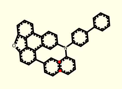 c1ccc(-c2ccc(N(c3ccccc3)c3ccc4c(c3)c3c(-c5ccccc5)ccc5oc6cccc4c6c53)cc2)cc1